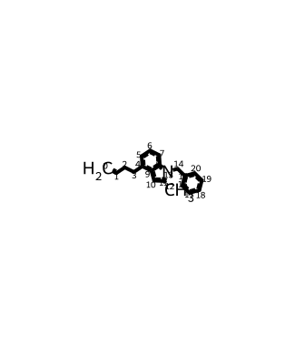 C=CCCc1cccc2c1cc(C)n2Cc1ccccc1